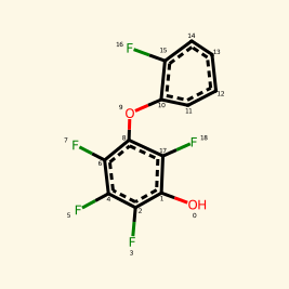 Oc1c(F)c(F)c(F)c(Oc2ccccc2F)c1F